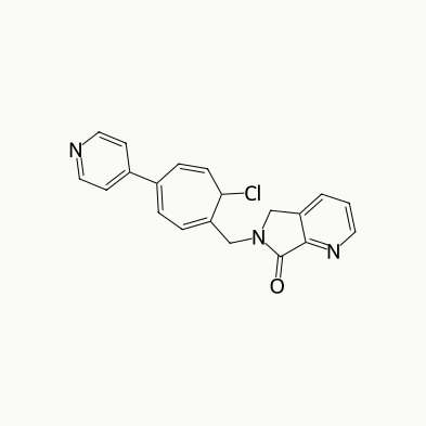 O=C1c2ncccc2CN1CC1=CC=C(c2ccncc2)C=CC1Cl